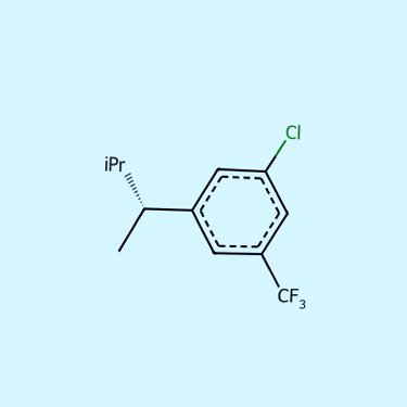 CC(C)[C@@H](C)c1cc(Cl)cc(C(F)(F)F)c1